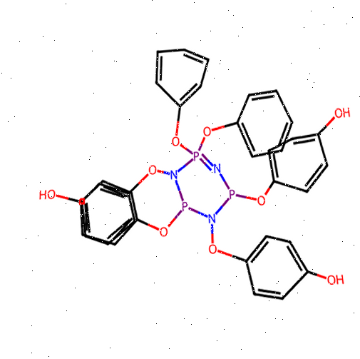 Oc1ccc(ON2P(Oc3ccc(O)cc3)N=P(Oc3ccccc3)(Oc3ccccc3)N(Oc3ccccc3)P2Oc2ccc(O)cc2)cc1